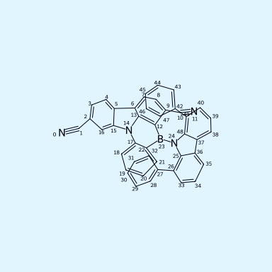 N#Cc1ccc2c3ccc(C#N)c4c3n(c2c1)-c1ccccc1B4n1c2c(-c3ccccc3)cccc2c2cccc(-c3ccccc3)c21